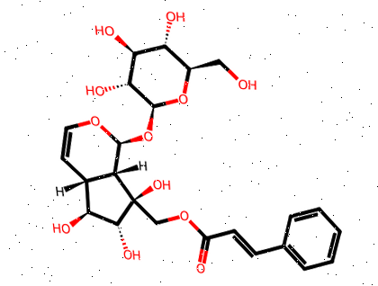 O=C(/C=C/c1ccccc1)OC[C@@]1(O)[C@H]2[C@H](O[C@@H]3O[C@H](CO)[C@@H](O)[C@H](O)[C@H]3O)OC=C[C@H]2[C@H](O)[C@H]1O